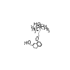 CC(C)(CCCOc1cccc2c1C=C(CO)CC2)[Si](C)(C)O